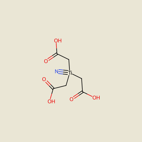 [N]#[Ti]([CH2]C(=O)O)([CH2]C(=O)O)[CH2]C(=O)O